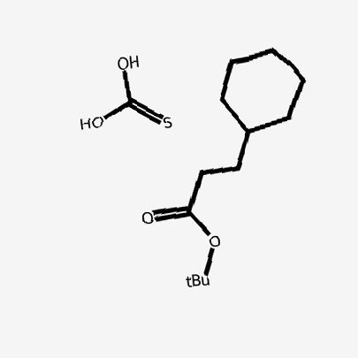 CC(C)(C)OC(=O)CCC1CCCCC1.OC(O)=S